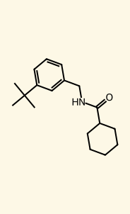 CC(C)(C)c1cccc(CNC(=O)C2CCCCC2)c1